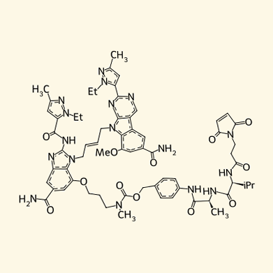 CCn1nc(C)cc1C(=O)Nc1nc2cc(C(N)=O)cc(OCCCN(C)C(=O)OCc3ccc(NC(=O)[C@H](C)NC(=O)[C@@H](NC(=O)CCN4C(=O)C=CC4=O)C(C)C)cc3)c2n1C/C=C/Cn1c2nc(-c3cc(C)nn3CC)ncc2c2cc(C(N)=O)cc(OC)c21